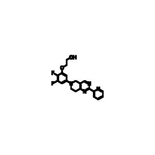 OCCOc1cc(N2CCc3nc(-c4ccccn4)ncc3C2)cc(F)c1F